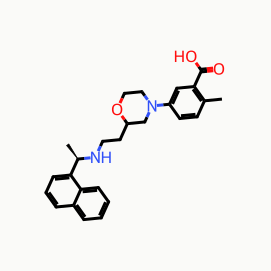 Cc1ccc(N2CCOC(CCN[C@H](C)c3cccc4ccccc34)C2)cc1C(=O)O